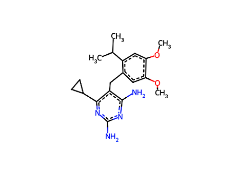 COc1cc(Cc2c(N)nc(N)nc2C2CC2)c(C(C)C)cc1OC